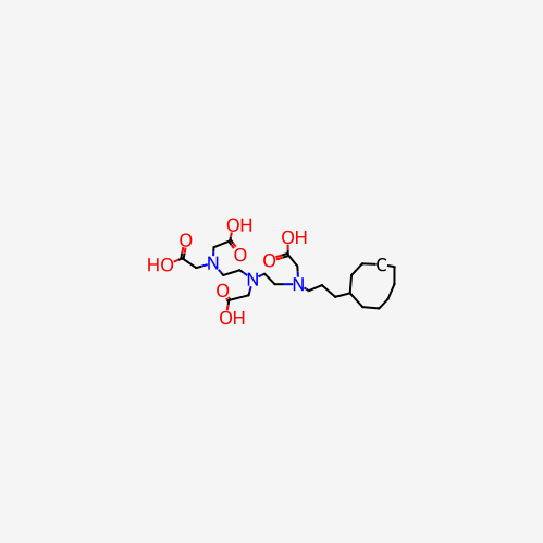 O=C(O)CN(CCCC1CCCCCCCC1)CCN(CCN(CC(=O)O)CC(=O)O)CC(=O)O